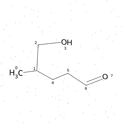 CC(CO)CCC=O